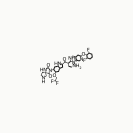 C=C/C(C(=O)c1cc2cc(OCC(F)F)c(N3C(=O)N[C@]4(CCNC4)C3=O)cc2[nH]1)=C(/N)N(N)c1cnc(Oc2c(F)cccc2F)cc1C